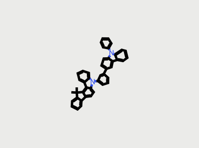 CC1(C)c2ccccc2-c2ccc3c(c21)c1ccccc1n3-c1cccc(-c2ccc3c(c2)c2ccccc2n3-c2ccccc2)c1